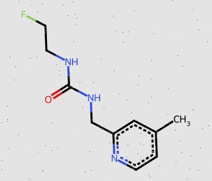 Cc1ccnc(CNC(=O)NCCF)c1